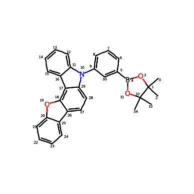 CC1(C)OB(c2cccc(-n3c4ccccc4c4c5oc6ccccc6c5ccc43)c2)OC1(C)C